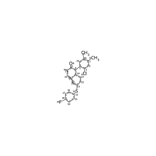 Cc1cc(Cl)c(-c2c(=O)ncn3nc(Sc4ccc(F)cc4)ccc23)cc1C